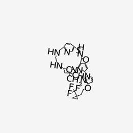 CC1(C)CC2CN1c1nc(-n3ccc(OCCC4(C(F)(F)F)CC4)n3)ccc1C(=O)NSc1ccc(nc1)NCCN2